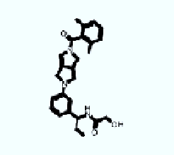 CC[C@H](NC(=O)CO)c1cccc(N2CC3=CN(C(=O)c4c(C)cccc4C)CC3C2)c1